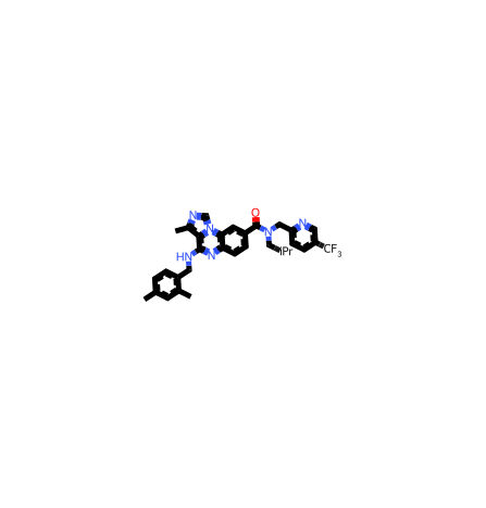 Cc1ccc(CNc2nc3ccc(C(=O)N(Cc4ccc(C(F)(F)F)cn4)CC(C)C)cc3n3cnc(C)c23)c(C)c1